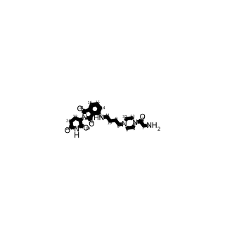 NCC(=O)N1CCN(CCCCNc2cccc3c2C(=O)N(C2CCC(=O)NC2=O)C3=O)CC1